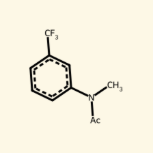 CC(=O)N(C)c1cccc(C(F)(F)F)c1